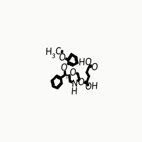 CCOc1ccccc1OC(c1ccccc1)[C@@H]1CNCCO1.O=C(O)CCC(=O)O